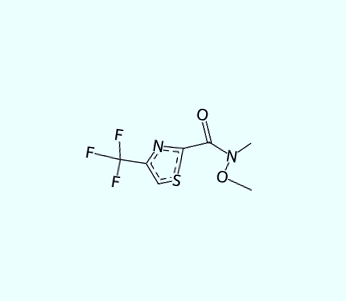 CON(C)C(=O)c1nc(C(F)(F)F)cs1